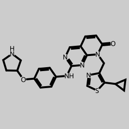 O=c1ccc2cnc(Nc3ccc(OC4CCNC4)cc3)nc2n1Cc1ncsc1C1CC1